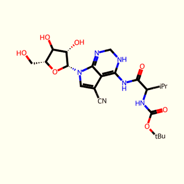 CC(C)C(NC(=O)OC(C)(C)C)C(=O)NC1=c2c(C#N)cn([C@@H]3O[C@H](CO)C(O)[C@@H]3O)c2=NCN1